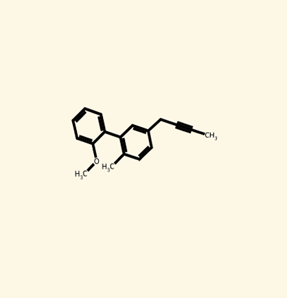 CC#CCc1c[c]c(C)c(-c2ccccc2OC)c1